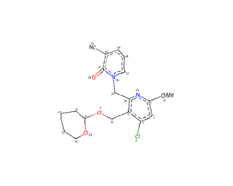 COc1cc(Cl)c(COC2CCCCO2)c(Cn2cccc(C#N)c2=O)n1